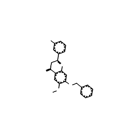 COc1cc2c(cc1OCc1ccccc1)N=C(c1cccc(F)c1)CC2=O